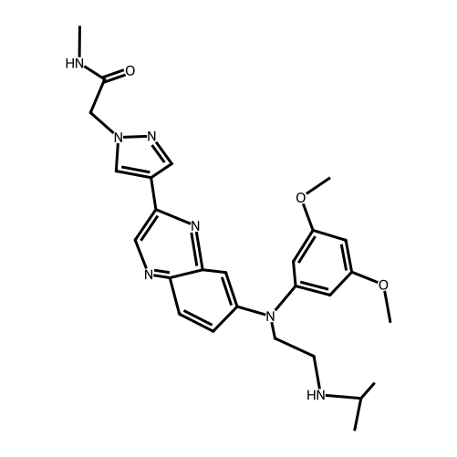 CNC(=O)Cn1cc(-c2cnc3ccc(N(CCNC(C)C)c4cc(OC)cc(OC)c4)cc3n2)cn1